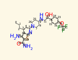 CCCc1cc(N2CCC(NCC(O)c3ccc(OC(F)(F)F)cc3)CC2)nc2sc(C(N)=O)c(N)c12